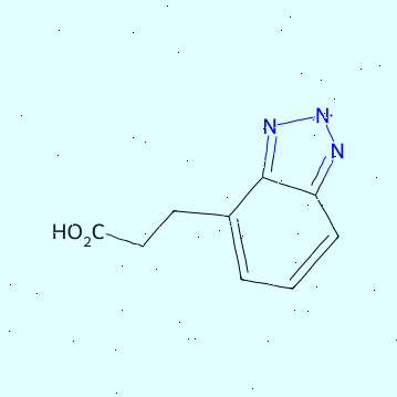 O=C(O)CCc1cccc2c1=N[N]N=2